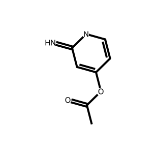 CC(=O)OC1=CC(=N)[N]C=C1